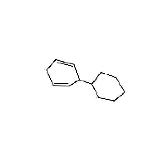 [CH]1C=CC(C2[CH]CCCC2)C=C1